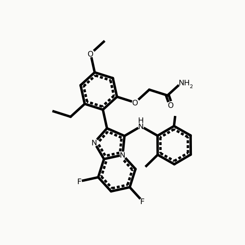 CCc1cc(OC)cc(OCC(N)=O)c1-c1nc2c(F)cc(F)cn2c1Nc1c(C)cccc1C